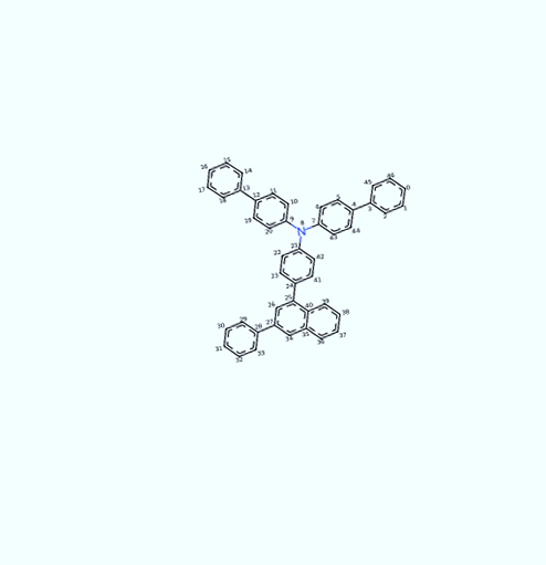 c1ccc(-c2ccc(N(c3ccc(-c4ccccc4)cc3)c3ccc(-c4cc(-c5ccccc5)cc5ccccc45)cc3)cc2)cc1